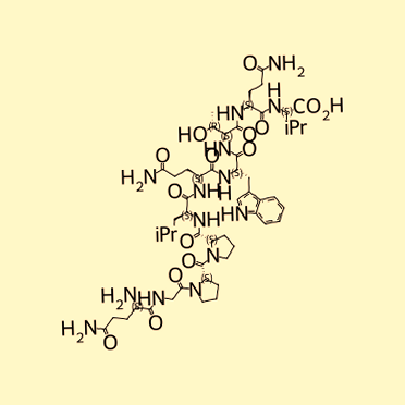 CC(C)C[C@H](NC(=O)[C@@H]1CCCN1C(=O)[C@@H]1CCCN1C(=O)CNC(=O)[C@@H](N)CCC(N)=O)C(=O)N[C@@H](CCC(N)=O)C(=O)N[C@@H](Cc1c[nH]c2ccccc12)C(=O)N[C@H](C(=O)N[C@@H](CCC(N)=O)C(=O)N[C@H](C(=O)O)C(C)C)[C@@H](C)O